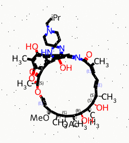 CO[C@H]1/C=C/O[C@@]2(C)Oc3c(C)c(O)c4c(O)c(c5c(c4c3C2=O)NC2(CCN(CC(C)C)CC2)N=5)=NC(=O)/C(C)=C/C=C/[C@H](C)[C@H](O)[C@@H](C)[C@@H](O)[C@@H](C)[C@H](OC(C)=O)[C@@H]1C